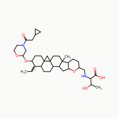 C/C=C1\C(OC2CN(C(=O)CC3CC3)CCO2)CCC23CC24CCC2(C)C5CCC(CNC(C(=O)O)C(C)O)OC5CC2C4CCC13